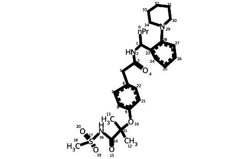 CCCC(NC(=O)Cc1ccc(OC(C)(C)C(=O)NS(C)(=O)=O)cc1)c1ccccc1N1CCCCC1